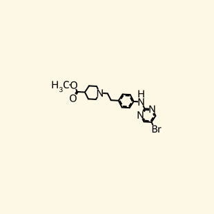 COC(=O)C1CCN(CCc2ccc(Nc3ncc(Br)cn3)cc2)CC1